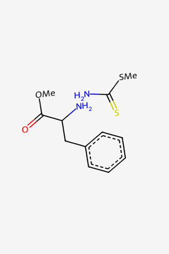 COC(=O)C(N)Cc1ccccc1.CSC(N)=S